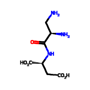 NC[C@@H](N)C(=O)N[C@H](CC(=O)O)C(=O)O